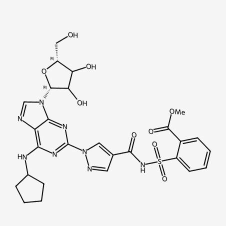 COC(=O)c1ccccc1S(=O)(=O)NC(=O)c1cnn(-c2nc(NC3CCCC3)c3ncn([C@@H]4O[C@H](CO)C(O)C4O)c3n2)c1